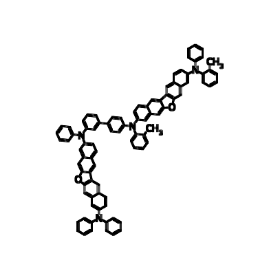 Cc1ccccc1N(c1ccccc1)c1ccc2cc3c(cc2c1)oc1cc2cc(N(c4ccc(-c5cccc(N(c6ccccc6)c6ccc7cc8c(cc7c6)oc6cc7cc(N(c9ccccc9)c9ccccc9)ccc7cc68)c5)cc4)c4ccccc4C)ccc2cc13